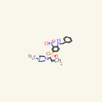 C=CC(N1CCN(C)CC1)S(=O)(=O)c1ccc(NCc2ccccc2)c([N+](=O)[O-])c1